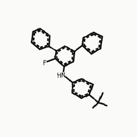 CC(C)(C)c1ccc(Nc2cc(-c3ccccc3)cc(-c3ccccc3)c2F)cc1